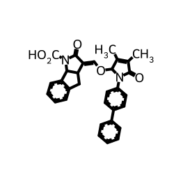 CC1=C(C)C(OC=C2C(=O)N(C(=O)O)C3c4ccccc4CC23)N(c2ccc(-c3ccccc3)cc2)C1=O